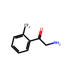 NCC(=O)c1ccccc1C(F)(F)F